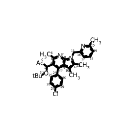 CC(=O)C(OC(C)(C)C)c1c(C)nc2c(c(C)c(C)n2Cc2cccc(C)n2)c1-c1ccc(Cl)cc1